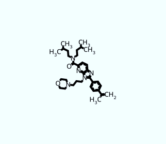 C=C(C)c1ccc(-c2nc3ccc(C(=O)N(CCC(C)C)CCC(C)C)nc3n2CCCN2CCOCC2)cc1